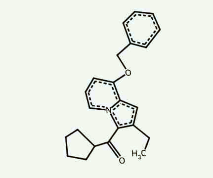 CCc1cc2c(OCc3ccccc3)cccn2c1C(=O)C1CCCC1